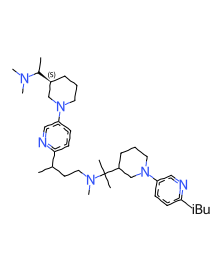 CCC(C)c1ccc(N2CCCC(C(C)(C)N(C)CCC(C)c3ccc(N4CCC[C@H](C(C)N(C)C)C4)cn3)C2)cn1